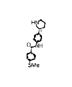 CSc1ccc(C(=O)Nc2ccc([C@@H]3CCCNC3)cc2)cc1